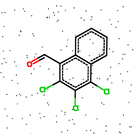 O=Cc1c(Cl)c(Cl)c(Cl)c2ccccc12